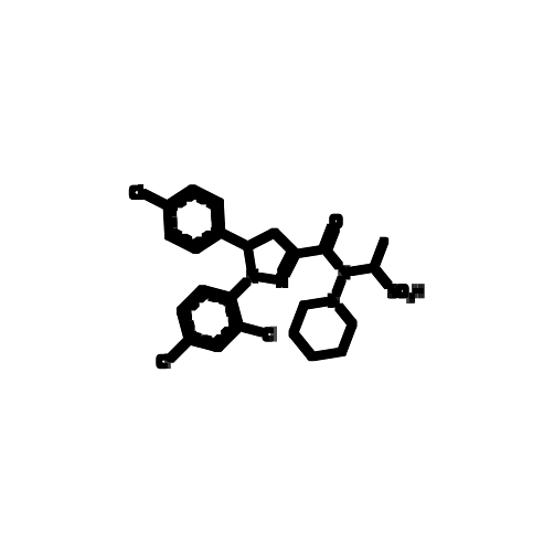 CC(N(C(=O)C1=NN(c2ccc(Cl)cc2Cl)C(c2ccc(Cl)cc2)C1)N1CCCCC1)S(=O)(=O)O